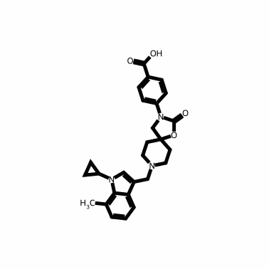 Cc1cccc2c(CN3CCC4(CC3)CN(c3ccc(C(=O)O)cc3)C(=O)O4)cn(C3CC3)c12